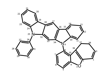 C1=Cc2oc3cccc(-n4c5ccccc5c5cc6c7ccccc7n(-c7ccccc7)c6cc54)c3c2CC1